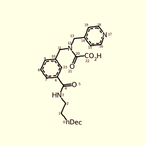 CCCCCCCCCCCCNC(=O)c1cccc(CN(Cc2ccncc2)C(=O)C(=O)O)c1